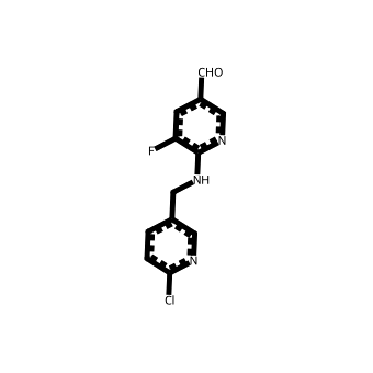 O=Cc1cnc(NCc2ccc(Cl)nc2)c(F)c1